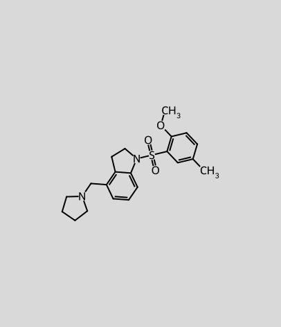 COc1ccc(C)cc1S(=O)(=O)N1CCc2c(CN3CCCC3)cccc21